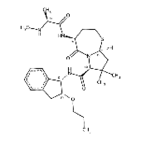 CCCO[C@@H]1Cc2ccccc2[C@@H]1NC(=O)[C@H]1N2C(=O)[C@@H](NC(=O)[C@H](C)NC)CCS[C@H]2CC1(C)C